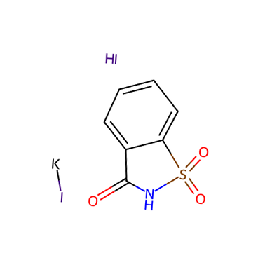 I.O=C1NS(=O)(=O)c2ccccc21.[K][I]